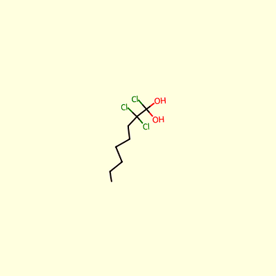 CCCCCCC(Cl)(Cl)C(O)(O)Cl